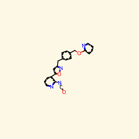 O=C=Nc1ncccc1-c1cc(Cc2ccc(COc3ccccn3)cc2)no1